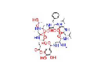 CC(C)C[C@H](NC(=O)[C@@H](NC(=O)[C@@H](N)CNC(=O)c1ccc(O)c(O)c1)C(C)C)C(=O)N[C@@H](Cc1ccccc1)[C@@H](O)C(=O)N[C@@H](CC(=O)O)C(=O)N[C@@H](C)C(=O)N[C@@H](CCC(=O)O)C(=O)O